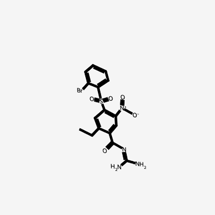 CCc1cc(S(=O)(=O)c2ccccc2Br)c([N+](=O)[O-])cc1C(=O)N=C(N)N